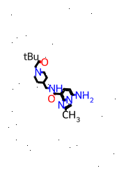 Cc1cn2c(N)ccc(C(=O)NCC3CCN(CC(=O)C(C)(C)C)CC3)c2n1